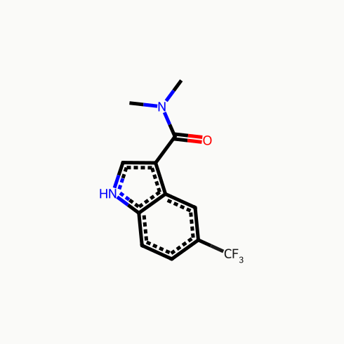 CN(C)C(=O)c1c[nH]c2ccc(C(F)(F)F)cc12